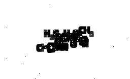 COc1ccc(NC(=O)c2cnccc2C(C)C)cc1S(=O)(=O)Nc1ccc(Cl)cc1